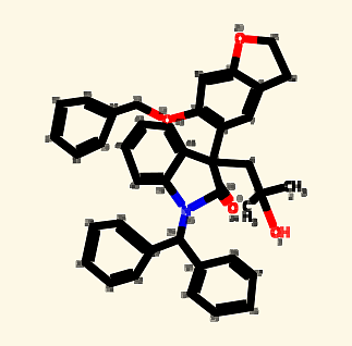 CC(C)(O)CC1(c2cc3c(cc2OCc2ccccc2)OCC3)C(=O)N(C(c2ccccc2)c2ccccc2)c2ccccc21